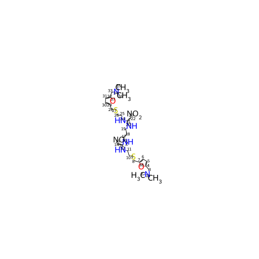 CN(C)Cc1ccc(CSCCNC(=C[N+](=O)[O-])NCCCNC(=C[N+](=O)[O-])NCCSCc2ccc(CN(C)C)o2)o1